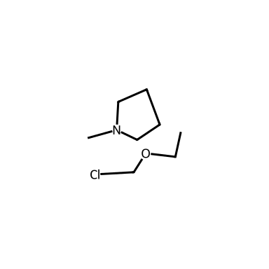 CCOCCl.CN1CCCC1